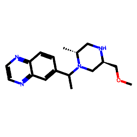 COC[C@H]1CN(C(C)c2ccc3nccnc3c2)[C@H](C)CN1